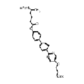 CCCCCCCCCCCCOc1cnc(-c2ccc(-c3ccc(OC(=O)CCCC(C)CCCCC)cc3)cc2)nc1